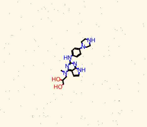 CN(CC(O)CO)c1nc(Nc2ccc(N3CCNCC3)cc2)nc2[nH]ccc12